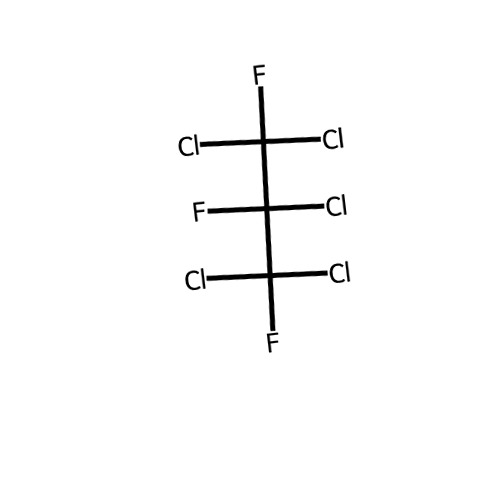 FC(Cl)(Cl)C(F)(Cl)C(F)(Cl)Cl